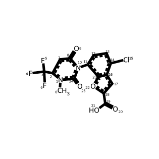 Cn1c(C(F)(F)F)cc(=O)n(-c2ccc(Cl)c3cc(C(=O)O)oc23)c1=O